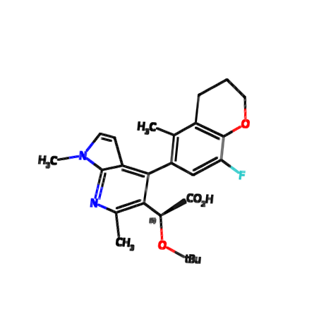 Cc1nc2c(ccn2C)c(-c2cc(F)c3c(c2C)CCCO3)c1[C@H](OC(C)(C)C)C(=O)O